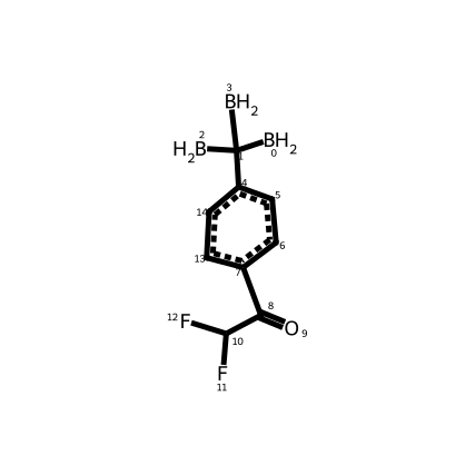 BC(B)(B)c1ccc(C(=O)C(F)F)cc1